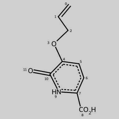 C=CCOc1ccc(C(=O)O)[nH]c1=O